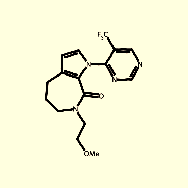 COCCN1CCCc2ccn(-c3ncncc3C(F)(F)F)c2C1=O